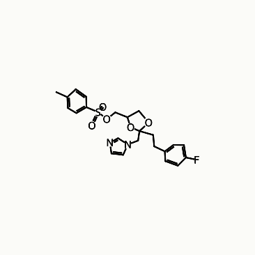 Cc1ccc(S(=O)(=O)OCC2COC(CCc3ccc(F)cc3)(Cn3ccnc3)O2)cc1